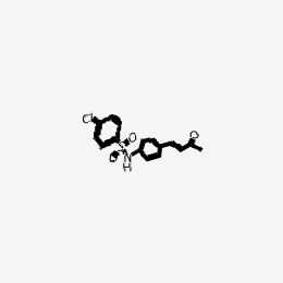 CC(=O)/C=C/c1ccc(NS(=O)(=O)c2ccc(Cl)cc2)cc1